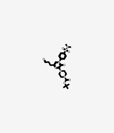 CN(C)S(=O)(=O)c1ccc(-n2cc(CCC=O)nc(N3CCN(C(=O)OC(C)(C)C)CC3)c2=O)cc1